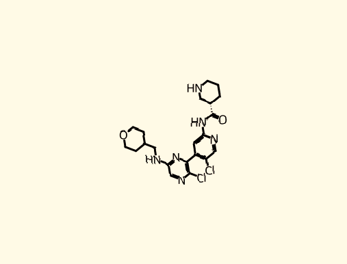 O=C(Nc1cc(-c2nc(NCC3CCOCC3)cnc2Cl)c(Cl)cn1)[C@H]1CCCNC1